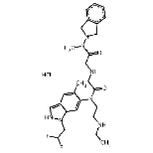 CCNCCN(C(=O)CNCC(=O)N(C)N1Cc2ccccc2C1)C1=CC2C(=CNN2CC(F)F)C=C1C.Cl